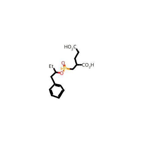 CCC(Cc1ccccc1)O[PH](=O)CC(CCC(=O)O)C(=O)O